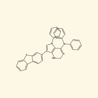 c1ccc(N(C2=NCNc3c(-c4ccc5c(c4)sc4ccccc45)cn(-c4ccccc4)c32)c2ccccc2)cc1